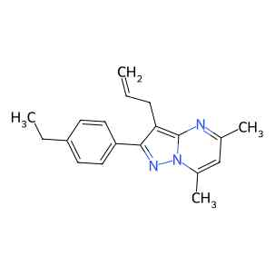 C=CCc1c(-c2ccc(CC)cc2)nn2c(C)cc(C)nc12